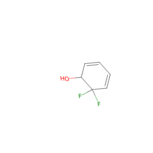 OC1C=CC=CC1(F)F